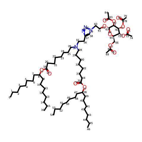 CCCCCCCCC(CCCCCCCC)OC(=O)CCCCCCCN(CCCCCCCC(=O)OC(CCCCCCCC)CCCCCCCC)CCc1cn(CCO[C@H]2O[C@H](COC(C)=O)[C@@H](OC(C)=O)[C@H](OC(C)=O)[C@@H]2OC(C)=O)nn1